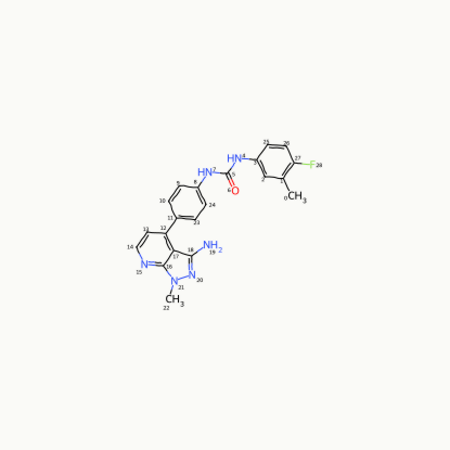 Cc1cc(NC(=O)Nc2ccc(-c3ccnc4c3c(N)nn4C)cc2)ccc1F